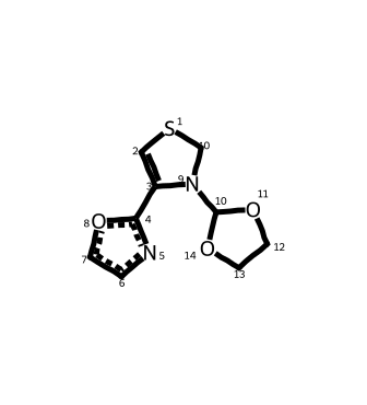 [CH]1SC=C(c2ncco2)N1C1OCCO1